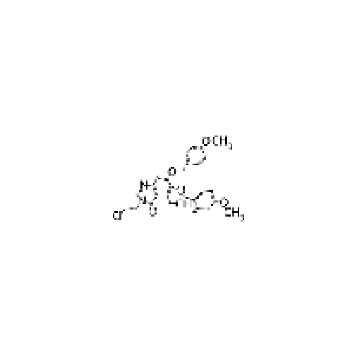 C=Cc1c(OCc2ccc(OC)cc2)c(OCc2ccc(OC)cc2)cc2ncn(CCCl)c(=O)c12